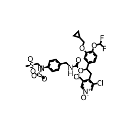 CS(=O)(=O)CN(c1ccc(CNC(=O)OC(Cc2c(Cl)c[n+]([O-])cc2Cl)c2ccc(OC(F)F)c(OCC3CC3)c2)cc1)[SH](=O)=O